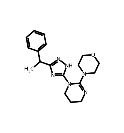 CC(c1c[c]ccc1)c1n[nH]c(N2CCCN=C2N2CCOCC2)n1